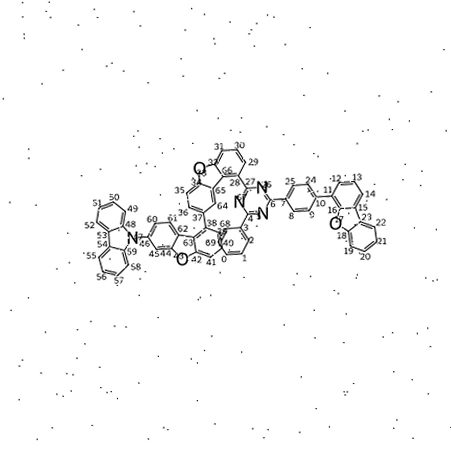 c1ccc(-c2nc(-c3ccc(-c4cccc5c4oc4ccccc45)cc3)nc(-c3cccc4oc5ccc(-c6cccc7oc8cc(-n9c%10ccccc%10c%10ccccc%109)ccc8c67)cc5c34)n2)cc1